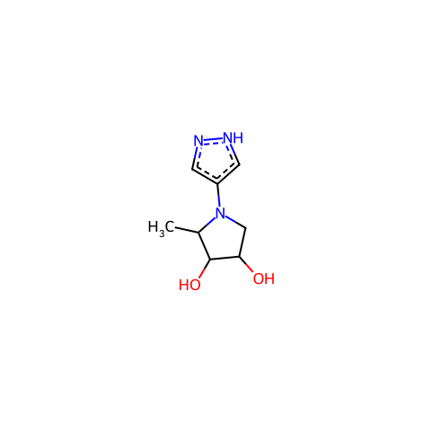 CC1C(O)C(O)CN1c1cn[nH]c1